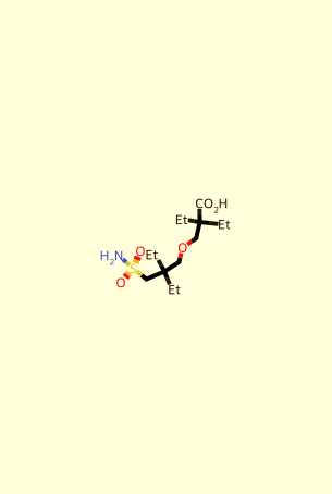 CCC(CC)(COCC(CC)(CC)C(=O)O)CS(N)(=O)=O